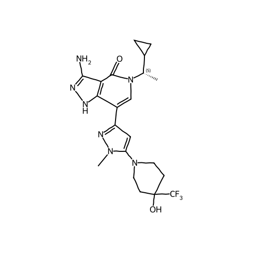 C[C@@H](C1CC1)n1cc(-c2cc(N3CCC(O)(C(F)(F)F)CC3)n(C)n2)c2[nH]nc(N)c2c1=O